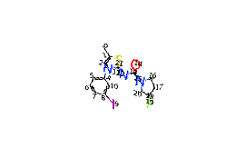 Cc1cn(-c2cccc(I)c2)/c(=N/C(=O)N2CC[C@@H](F)C2)s1